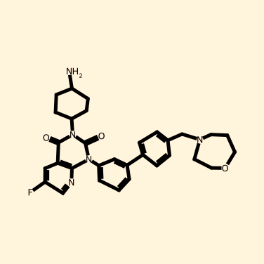 NC1CCC(n2c(=O)c3cc(F)cnc3n(-c3cccc(-c4ccc(CN5CCCOCC5)cc4)c3)c2=O)CC1